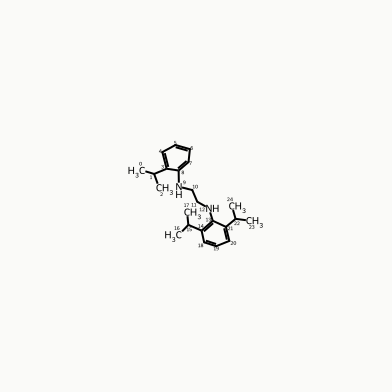 CC(C)c1ccccc1NCCNc1c(C(C)C)cccc1C(C)C